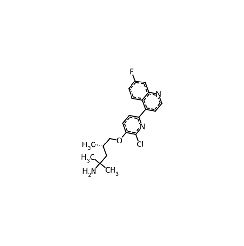 C[C@H](COc1ccc(-c2ccnc3cc(F)ccc23)nc1Cl)CC(C)(C)N